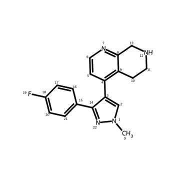 Cn1cc(-c2ccnc3c2CCNC3)c(-c2ccc(F)cc2)n1